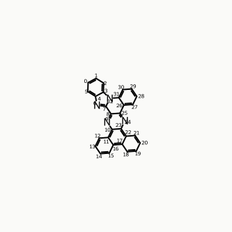 c1ccc2c(c1)nc1c3nc4c5ccccc5c5ccccc5c4nc3c3ccccc3n21